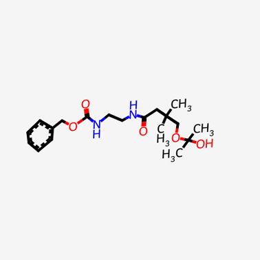 CC(C)(COC(C)(C)O)CC(=O)NCCNC(=O)OCc1ccccc1